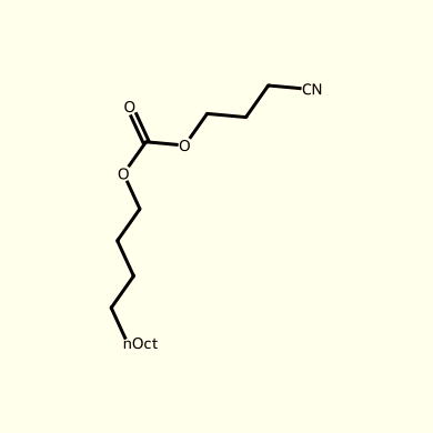 CCCCCCCCCCCCOC(=O)OCCCC#N